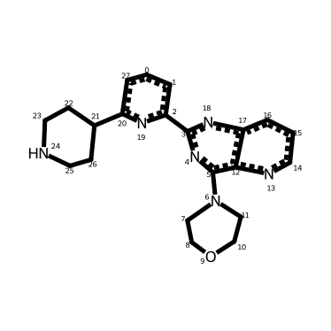 c1cc(-c2nc(N3CCOCC3)c3ncccc3n2)nc(C2CCNCC2)c1